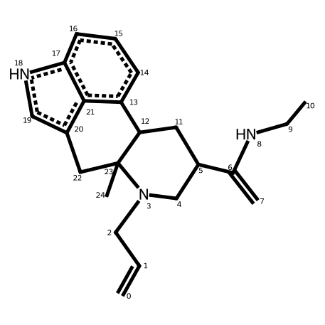 C=CCN1CC(C(=C)NCC)CC2c3cccc4[nH]cc(c34)CC21C